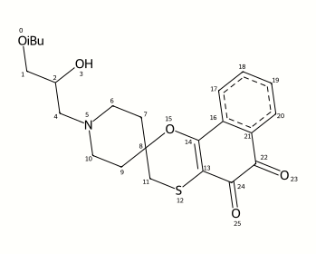 CC(C)COCC(O)CN1CCC2(CC1)CSC1=C(O2)c2ccccc2C(=O)C1=O